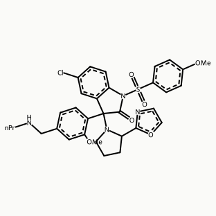 CCCNCc1ccc(C2(N3CCCC3c3ncco3)C(=O)N(S(=O)(=O)c3ccc(OC)cc3)c3ccc(Cl)cc32)c(OC)c1